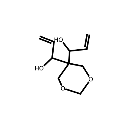 C=CC(O)C1(C(O)C=C)COCOC1